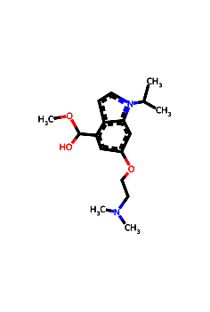 COC(O)c1cc(OCCN(C)C)cc2c1ccn2C(C)C